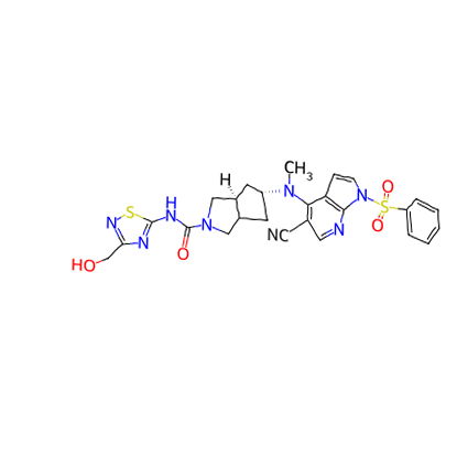 CN(c1c(C#N)cnc2c1ccn2S(=O)(=O)c1ccccc1)[C@@H]1CC2CN(C(=O)Nc3nc(CO)ns3)C[C@H]2C1